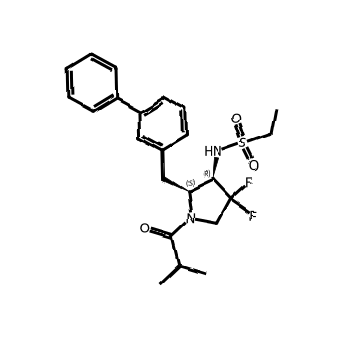 CCS(=O)(=O)N[C@@H]1[C@H](Cc2cccc(-c3ccccc3)c2)N(C(=O)C(C)C)CC1(F)F